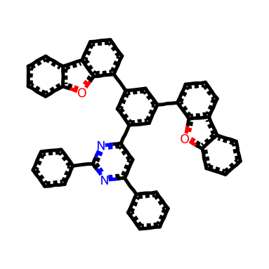 c1ccc(-c2cc(-c3cc(-c4cccc5c4oc4ccccc45)cc(-c4cccc5c4oc4ccccc45)c3)nc(-c3ccccc3)n2)cc1